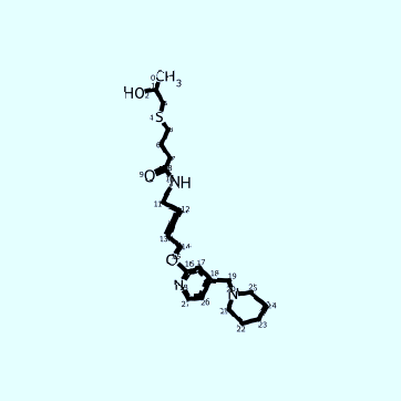 CC(O)CSCCCC(=O)NCC=CCOc1cc(CN2CCCCC2)ccn1